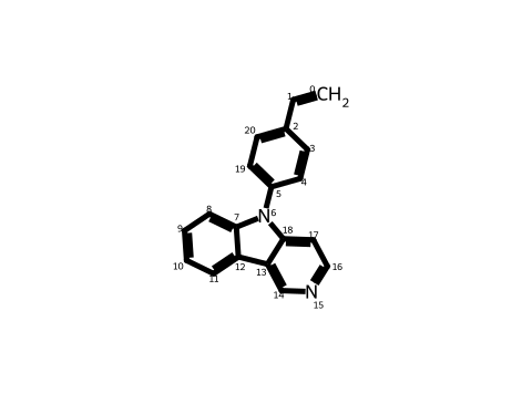 C=Cc1ccc(-n2c3ccccc3c3cnccc32)cc1